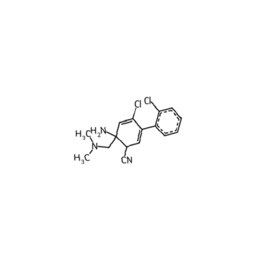 CN(C)CC1(N)C=C(Cl)C(c2ccccc2Cl)=CC1C#N